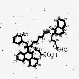 CCc1ccccc1CC1(C)C(/C=C/C=C/C=C2/Sc3c(ccc4ccccc34)N2CCOC=O)=[N+](CCC(=O)O)c2c1c1ccccc1c1ccccc21